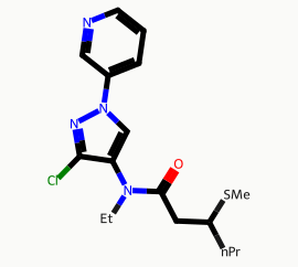 CCCC(CC(=O)N(CC)c1cn(-c2cccnc2)nc1Cl)SC